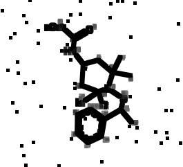 CCCCCCCCC(=O)NC1CC(C)(C)N(OC(C)c2ccccc2)C(CC)(CC)C1